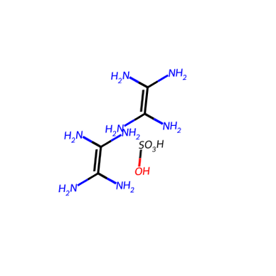 NC(N)=C(N)N.NC(N)=C(N)N.O=S(=O)(O)O